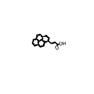 O=C(O)C=Cc1ccc2ccc3cccc4ccc1c2c34